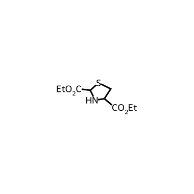 CCOC(=O)C1CSC(C(=O)OCC)N1